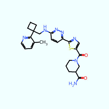 Cc1cccnc1C1(CNc2ccc(-c3ncc(C(=O)N4CCCC(C(N)=O)C4)s3)nn2)CCC1